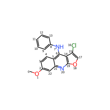 COc1ccc2c(Nc3cc[c]cc3)c3c(Cl)coc3nc2c1